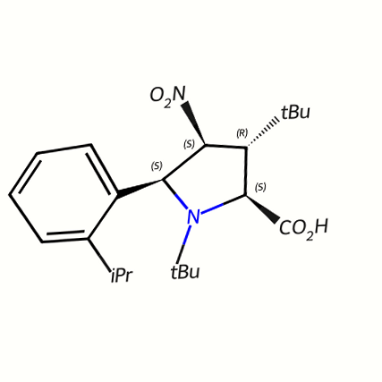 CC(C)c1ccccc1[C@H]1[C@@H]([N+](=O)[O-])[C@H](C(C)(C)C)[C@@H](C(=O)O)N1C(C)(C)C